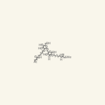 CSCC(=N)NCCSCCO[C@@H]1[C@@H](O)[C@H](O)[C@@H](CO[C@H]2O[C@H](CO)[C@@H](O)[C@H](O)[C@H]2OCCSCCNC(=O)CCC(C)=O)O[C@@H]1O